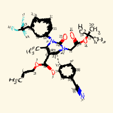 C=CCOC(=O)C1=C(C)N(c2cccc(C(F)(F)F)c2)C(=O)N(CC(=O)OC(C)(C)C)[C@@H]1c1ccc(C#N)cc1